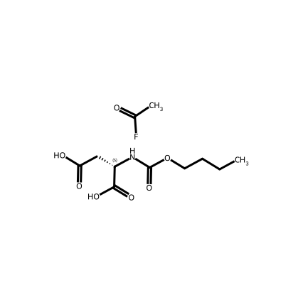 CC(=O)F.CCCCOC(=O)N[C@@H](CC(=O)O)C(=O)O